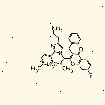 Cc1ccc(-c2nc(CCN)cn2C(c2oc3cc(F)ccc3c(=O)c2Cc2ccccc2)C(C)C)cc1